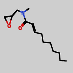 CCCCCCCC=CC(=O)N(C)CC1CO1